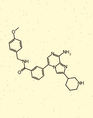 COc1ccc(CNC(=O)c2cccc(-c3cnc(N)c4nc(C5CCCNC5)cn34)c2)cc1